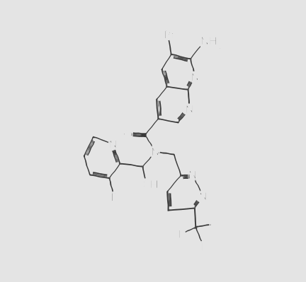 CC(c1ncccc1F)N(Cc1ccc(C(F)(F)F)nn1)C(=O)c1cnc2nc(N)c(Br)cc2c1